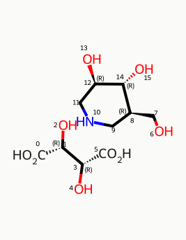 O=C(O)[C@H](O)[C@@H](O)C(=O)O.OC[C@H]1CNC[C@@H](O)[C@@H]1O